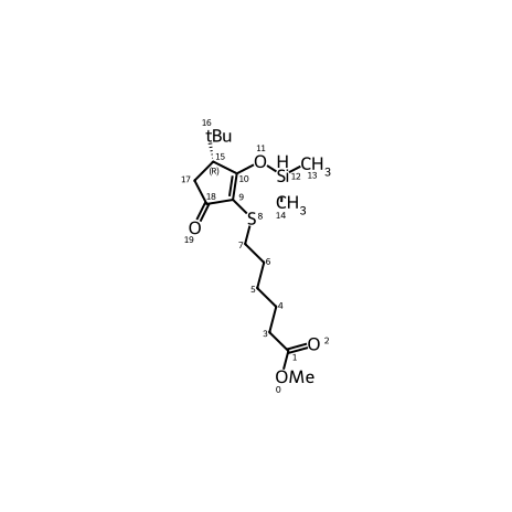 COC(=O)CCCCCSC1=C(O[SiH](C)C)[C@@H](C(C)(C)C)CC1=O